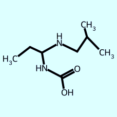 CCC(NCC(C)C)NC(=O)O